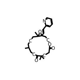 CC1CCCC2(C)OC2(C=Cc2ccccn2)CCOC(=O)CCC(C)(C)C(=O)CC1